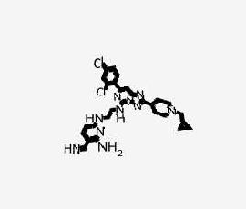 N=Cc1ccc(NCCNc2nc(-c3ccc(Cl)cc3Cl)cc3nc(C4CCN(CC5CC5)CC4)nn23)nc1N